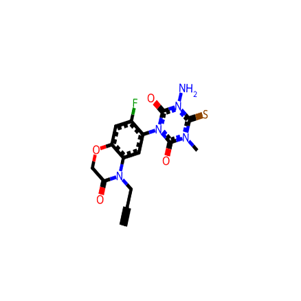 C#CCN1C(=O)COc2cc(F)c(-n3c(=O)n(C)c(=S)n(N)c3=O)cc21